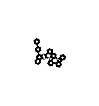 c1ccc(-c2ccc(-c3cc4ccccc4c4nc(-n5c6cccc7c8cccc9c%10ccccc%10n(c%10cccc5c%10c76)c89)c(-c5ccccc5)nc34)cc2)cc1